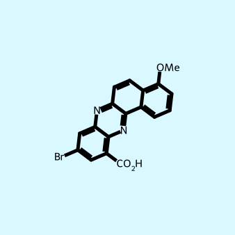 COc1cccc2c1ccc1nc3cc(Br)cc(C(=O)O)c3nc12